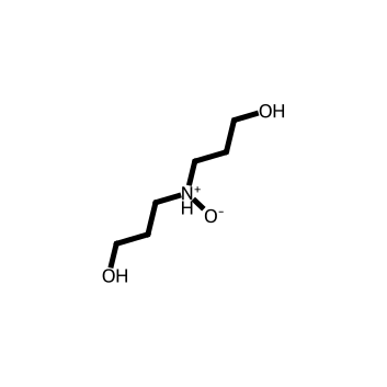 [O-][NH+](CCCO)CCCO